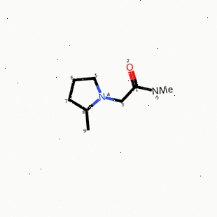 CNC(=O)CN1CCCC1C